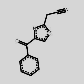 N#CCc1nc(C(=O)c2ccccc2)cs1